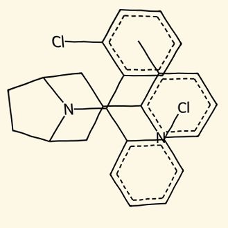 Cc1cccnc1C1CC2CCC(C1)N2C(c1ccccc1Cl)c1ccccc1Cl